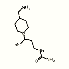 CCCC(CCNC(N)=O)N1CCC(CN)CC1